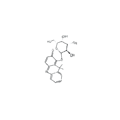 CC1(C)C2=C(OC3O[C@H](CO)[C@H](O)[C@H](O)[C@H]3O)C(=O)C=CC2=Nc2ccccc21